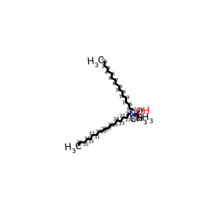 CCCCCCCCCCCCCCCCCC[N+](C)(CCCCCCCCCCCCCCCCCC)C(C)O